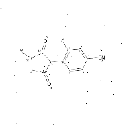 Cc1cc(C#N)ccc1C1C(=O)CC(C)C1=O